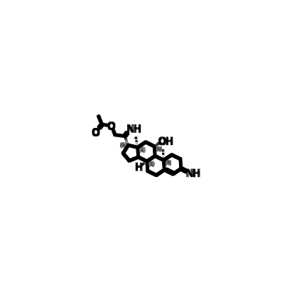 CC(=O)OCC(=N)[C@H]1CCC2[C@@H]3CCC4=CC(=N)CC[C@]4(C)C3[C@@H](O)C[C@@]21C